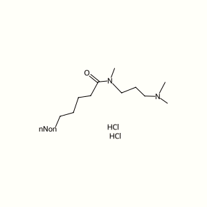 CCCCCCCCCCCCCC(=O)N(C)CCCN(C)C.Cl.Cl